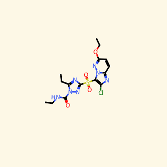 CCNC(=O)n1nc(S(=O)(=O)c2c(Cl)nc3ccc(OCC)nn23)nc1CC